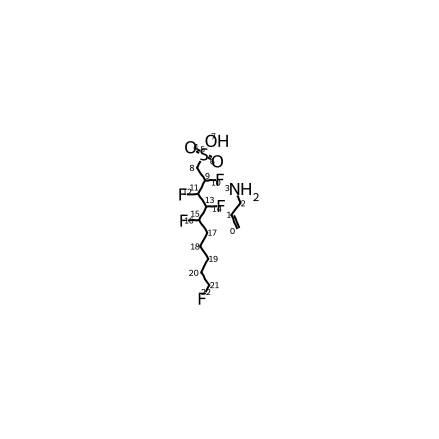 C=CCN.O=S(=O)(O)CC(F)C(F)C(F)C(F)CCCCCF